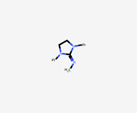 CN=C1N(C(C)C)CCN1C(C)C